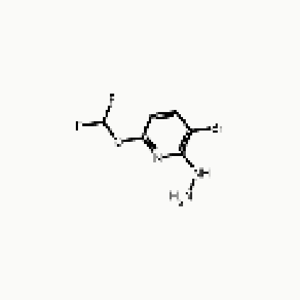 NNc1nc(OC(F)F)ccc1Br